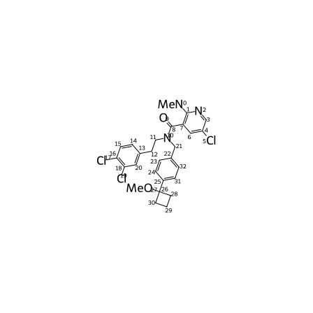 CNc1ncc(Cl)cc1C(=O)N(CCc1ccc(Cl)c(Cl)c1)Cc1ccc(C2(OC)CCC2)cc1